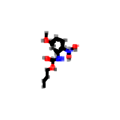 CCCCOC(=O)Nc1cc(OC)ccc1[N+](=O)[O-]